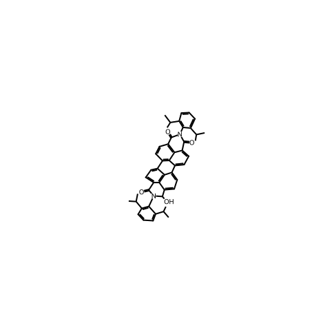 CC(C)c1cccc(C(C)C)c1N1C(=O)c2ccc3c4ccc5c6c(ccc(c7ccc(c2c37)C1=O)c64)C(O)N(c1c(C(C)C)cccc1C(C)C)C5=O